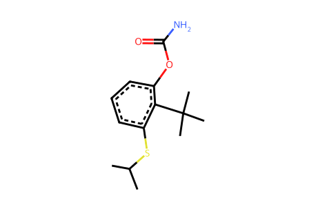 CC(C)Sc1cccc(OC(N)=O)c1C(C)(C)C